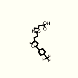 Cc1oc(-c2ccc(C(F)(F)F)cc2)cc1CCc1ncc(CC(=O)O)s1